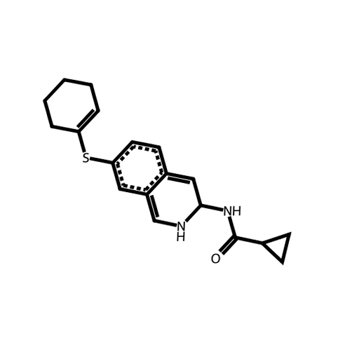 O=C(NC1C=c2ccc(SC3=CCCCC3)cc2=CN1)C1CC1